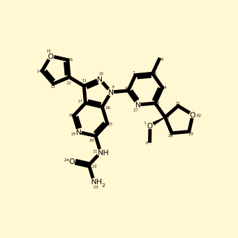 CO[C@]1(c2cc(C)cc(-n3nc(-c4ccoc4)c4cnc(NC(N)=O)cc43)n2)CCOC1